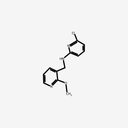 COc1ncccc1CNc1cccc(Cl)n1